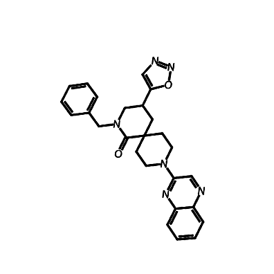 O=C1N(Cc2ccccc2)CC(c2cnno2)CC12CCN(c1cnc3ccccc3n1)CC2